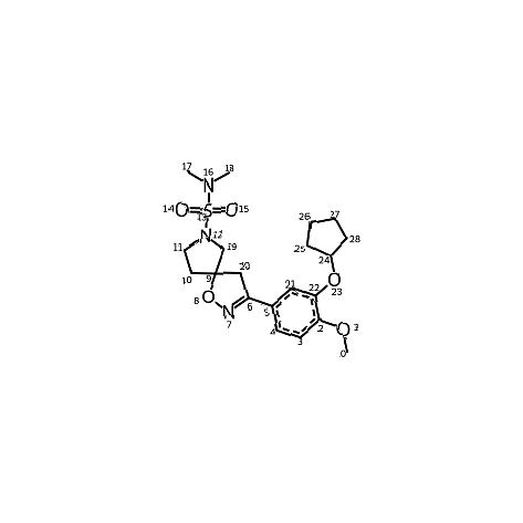 COc1ccc(C2=NOC3(CCN(S(=O)(=O)N(C)C)C3)C2)cc1OC1CCCC1